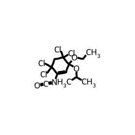 CCOC1(OC(C)C)C=C(N=C=O)C(Cl)(Cl)CC1(Cl)Cl